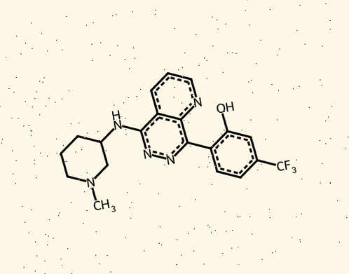 CN1CCCC(Nc2nnc(-c3ccc(C(F)(F)F)cc3O)c3ncccc23)C1